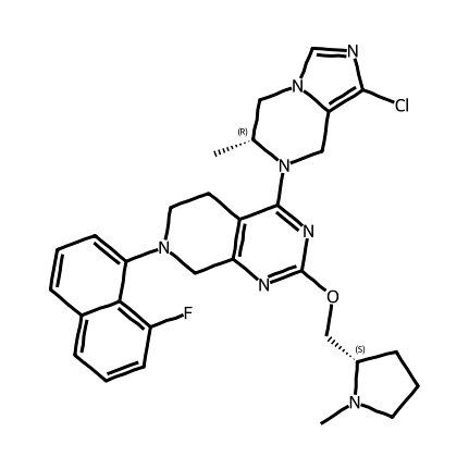 C[C@@H]1Cn2cnc(Cl)c2CN1c1nc(OC[C@@H]2CCCN2C)nc2c1CCN(c1cccc3cccc(F)c13)C2